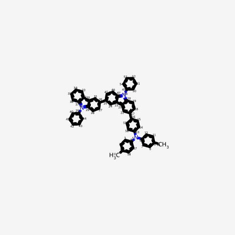 Cc1ccc(N(c2ccc(C)cc2)c2ccc(-c3ccc4c(c3)c3cc(-c5ccc6c(c5)c5ccccc5n6-c5ccccc5)ccc3n4-c3ccccc3)cc2)cc1